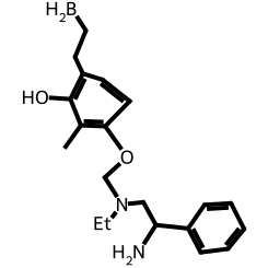 BCCc1ccc(OCN(CC)CC(N)c2ccccc2)c(C)c1O